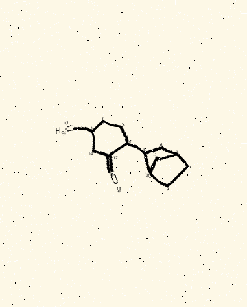 CC1CCC(C2CC3CCC2C3)C(=O)C1